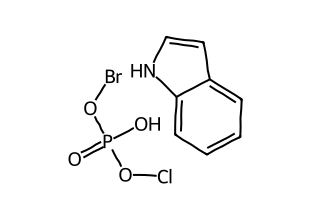 O=P(O)(OCl)OBr.c1ccc2[nH]ccc2c1